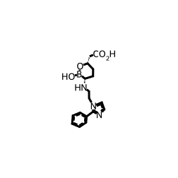 O=C(O)C[C@@H]1CC[C@H](NCCn2ccnc2-c2ccccc2)B(O)O1